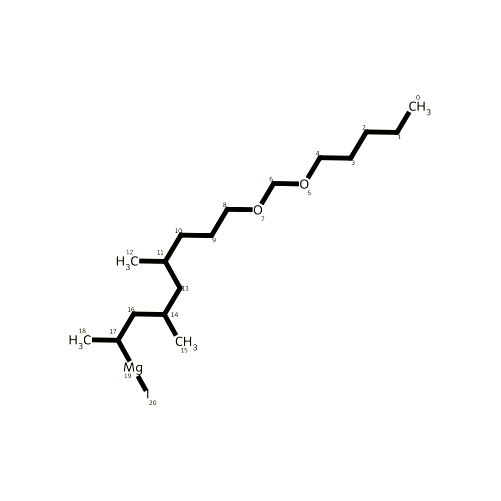 CCCCCOCOCCCC(C)CC(C)C[CH](C)[Mg][I]